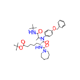 CC(C(=O)NC(C)(C)C)N(C(=O)C(CCCCC(=O)OC(C)(C)C)NC(=O)N1CCCCCC1)c1ccc(OCc2ccccc2)cc1